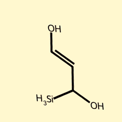 OC=CC(O)[SiH3]